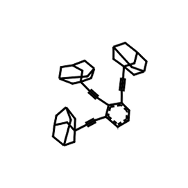 C(#CC12CC3CC(CC(C3)C1)C2)c1[c]ccc(C#CC23CC4CC(CC(C4)C2)C3)c1C#CC12CC3CC(CC(C3)C1)C2